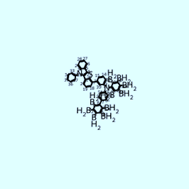 Bc1c(B)c(B)c(-c2ccc(N(c3cccc(-c4cccc5c4sc4c6ccccc6n(-c6ccccc6)c54)c3)c3c(B)c(B)c(B)c(B)c3B)cc2)c(B)c1B